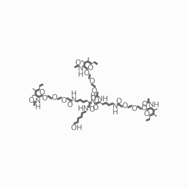 CC[C@H]1O[C@@H](OCCOCCOCC(=O)NCCCC[C@H](NC(=O)COCCOCCO[C@@H]2O[C@H](CC)[C@H](C)[C@H](C)[C@H]2NC(C)=O)C(=O)N[C@H](CCCCNC(=O)COCCOCCO[C@@H]2O[C@H](CC)[C@H](C)[C@H](C)[C@H]2NC(C)=O)C(=O)NCCCCCCO)[C@H](NC(C)=O)[C@@H](C)[C@H]1C